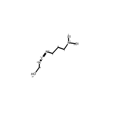 CCN(CC)CCCN=C=NCO